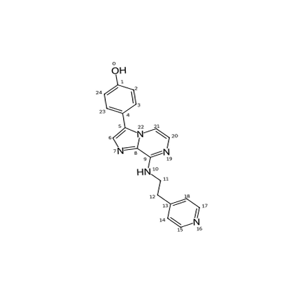 Oc1ccc(-c2cnc3c(NCCc4ccncc4)nccn23)cc1